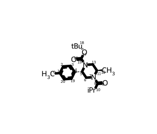 Cc1ccc([C@H]2CN(C(=O)C(C)C)[C@H](C)CN2C(=O)OC(C)(C)C)cc1